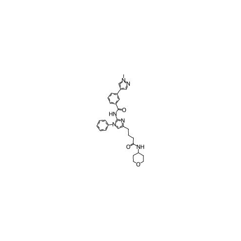 Cn1cc(-c2cccc(C(=O)Nc3nc(CCCC(=O)NC4CCOCC4)cn3-c3ccccc3)c2)cn1